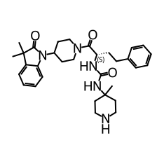 CC1(NC(=O)N[C@@H](CCc2ccccc2)C(=O)N2CCC(N3C(=O)C(C)(C)c4ccccc43)CC2)CCNCC1